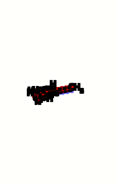 CC/C=C\C/C=C\C/C=C\C/C=C\C/C=C\C/C=C\CCC(=O)NCCNC(=O)C(=O)[C@@H](NC(=O)[C@H]1[C@H]2CCC[C@H]2CN1C(=O)[C@H](NC(=O)[C@@H](NC(=O)c1cnccn1)C1CCCCC1)C(C)(C)C)C(C)C